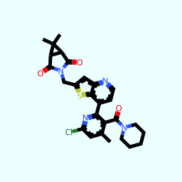 Cc1cc(Cl)nc(-c2ccnc3cc(CN4C(=O)C5C(C4=O)C5(C)C)sc23)c1C(=O)N1CCCCC1